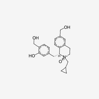 [O-][N@+]1(CC2CC2)CCc2cc(CO)ccc2[C@H]1Cc1ccc(CO)c(O)c1